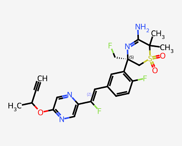 C#CC(C)Oc1cnc(/C(F)=C/c2ccc(F)c([C@]3(CF)CS(=O)(=O)C(C)(C)C(N)=N3)c2)cn1